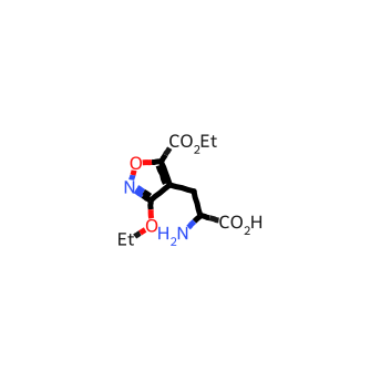 CCOC(=O)c1onc(OCC)c1CC(N)C(=O)O